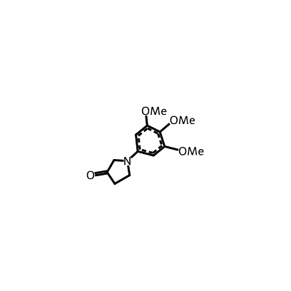 COc1cc(N2CCC(=O)C2)cc(OC)c1OC